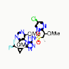 COc1ncnc(OC)c1-n1c(NS(=O)(=O)[C@@H](C)[C@H](OC)c2ncc(Cl)cn2)nnc1[C@@H]1C[C@H]1C(F)F